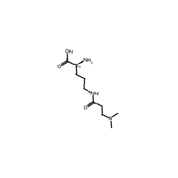 CN(C)CCC(=O)NCCC[C@H](N)C(=O)O